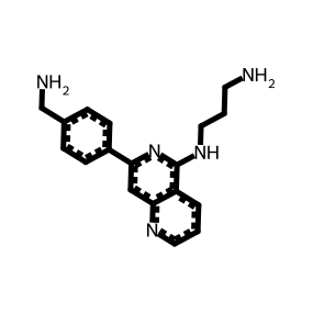 NCCCNc1nc(-c2ccc(CN)cc2)cc2ncccc12